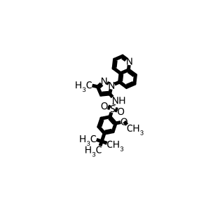 COc1cc(C(C)(C)C)ccc1S(=O)(=O)Nc1cc(C)nn1-c1cccc2ncccc12